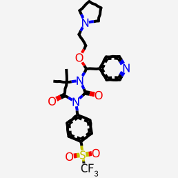 CC1(C)C(=O)N(c2ccc(S(=O)(=O)C(F)(F)F)cc2)C(=O)N1C(OCCN1CCCC1)c1ccncc1